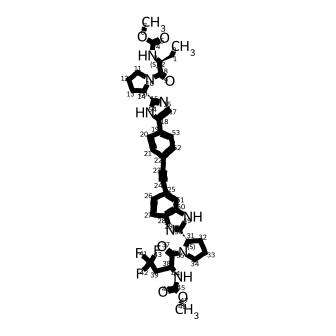 CC[C@H](NC(=O)OC)C(=O)N1CCC[C@H]1c1ncc(-c2ccc(C#Cc3ccc4nc([C@@H]5CCCN5C(=O)C(CC(F)(F)F)NC(=O)OC)[nH]c4c3)cc2)[nH]1